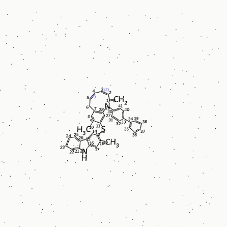 C=C1/C=C\C=C/Cc2cc(C)c(Sc3cc4c(cc3C)[nH]c3ccccc34)cc2N1c1ccc(-c2ccccc2)cc1